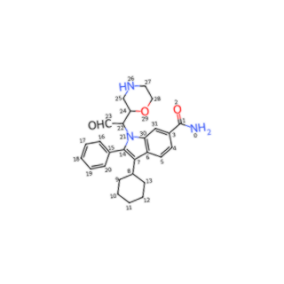 NC(=O)c1ccc2c(C3CCCCC3)c(-c3ccccc3)n(C(C=O)C3CNCCO3)c2c1